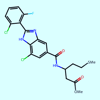 COC(=O)CC(CCSC)NC(=O)c1cc(Cl)c2[nH]c(-c3c(F)cccc3Cl)nc2c1